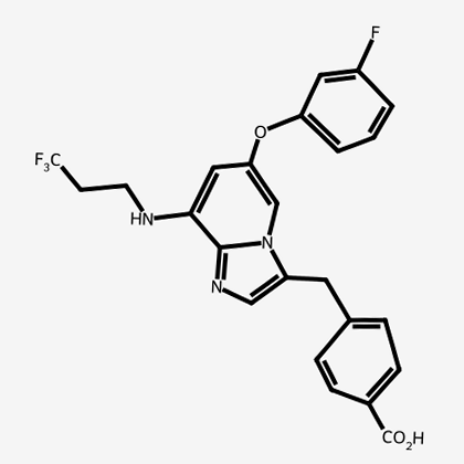 O=C(O)c1ccc(Cc2cnc3c(NCCC(F)(F)F)cc(Oc4cccc(F)c4)cn23)cc1